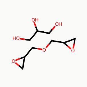 C(OCC1CO1)C1CO1.OCC(O)CO